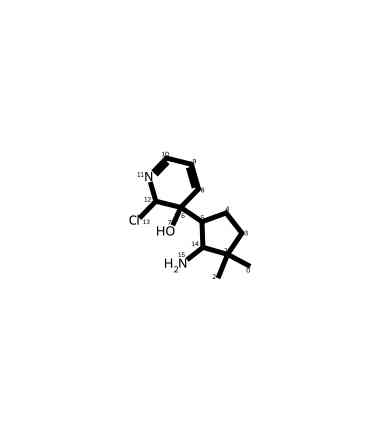 CC1(C)CCC(C2(O)C=CC=NC2Cl)C1N